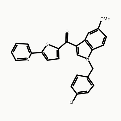 COc1ccc2c(c1)c(C(=O)c1ccc(-c3ccccn3)s1)cn2Cc1ccc(Cl)cc1